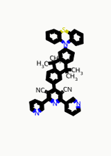 CC1(C)c2ccc(N3c4ccccc4Sc4ccccc43)cc2C(C)(C)c2ccc(-c3c(C#N)c(-c4cccnc4)nc(-c4cccnc4)c3C#N)cc21